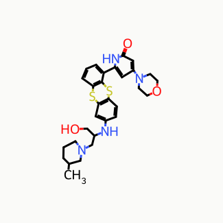 CC1CCCN(CC(CO)Nc2ccc3c(c2)Sc2cccc(-c4cc(N5CCOCC5)cc(=O)[nH]4)c2S3)C1